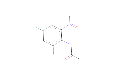 CC(=O)Nc1c(Cl)cc(F)cc1[N+](=O)[O-]